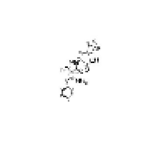 N[C@H](Cc1ccccc1)[C@H](O)C(=O)NC(CC1CC(F)(F)C1)C(=O)O